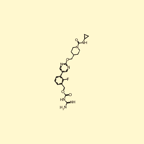 N=C(N)NC(=O)OCc1cccc(-c2cnc(OCC3CCN(C(=O)NC4CC4)CC3)nc2)c1F